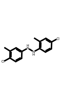 Cc1cc(NNc2ccc(Cl)cc2C)ccc1Cl